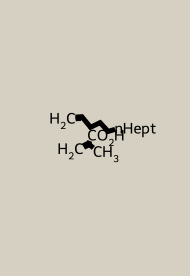 C=C(C)C(=O)O.C=CCCCCCCCCCC